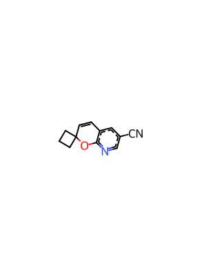 N#Cc1cnc2c(c1)C=CC1(CCC1)O2